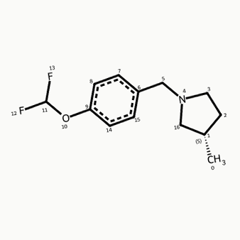 C[C@H]1CCN(Cc2ccc(OC(F)F)cc2)C1